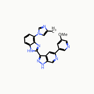 COc1cncc(-c2cc3c(-c4nc5c(-n6cnc(C)c6)cccc5[nH]4)n[nH]c3cn2)c1